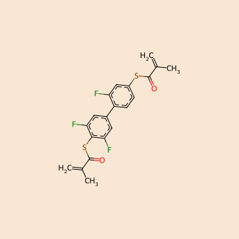 C=C(C)C(=O)Sc1ccc(-c2cc(F)c(SC(=O)C(=C)C)c(F)c2)c(F)c1